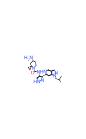 CC(C)Cn1ncc2cnc(-c3n[nH]cc3NC(=O)N3CCC(N)CC34CC4)cc21